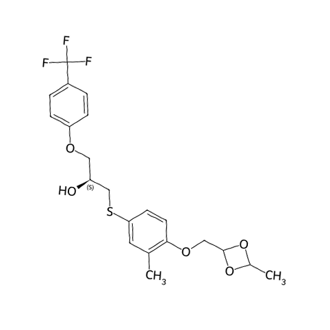 Cc1cc(SC[C@@H](O)COc2ccc(C(F)(F)F)cc2)ccc1OCC1OC(C)O1